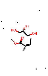 CC=C(C)C(=O)OC.OCC(O)CO